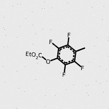 CCOC(=O)Oc1c(F)c(F)c(C)c(F)c1F